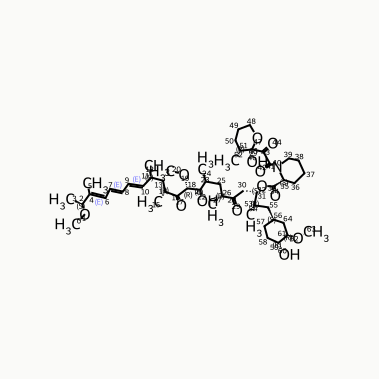 CO[C@@H](C)/C(C)=C/C=C/C=C/[C@@H](C)C[C@@H](C)C(=O)[C@H](OC)[C@H](O)C(C)C[C@@H](C)C(=O)C[C@H](OC(=O)[C@@H]1CCCCN1C(=O)C(=O)[C@]1(O)OCCC[C@H]1C)[C@H](C)C[C@@H]1CC[C@@H](O)[C@H](OC)C1